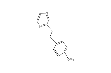 COc1ccc(CSc2cnccn2)cc1